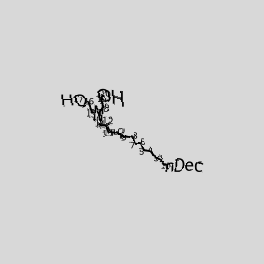 CCCCCCCCCCCCCCCCCCCCCCCN(CCO)CCO